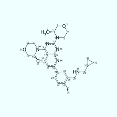 C[C@H]1COCCN1c1nc(N2CCOC[C@@H]2C)c2ccc(-c3ccc(F)c(CNCC4CC4)c3)nc2n1